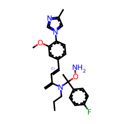 C=C(/C=C/c1ccc(-n2cnc(C)c2)c(OC)c1)N(CCC)C(C)(ON)c1ccc(F)cc1